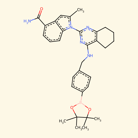 Cc1cc2c(C(N)=O)cccc2n1-c1nc2c(c(NCc3ccc(B4OC(C)(C)C(C)(C)O4)cc3)n1)CCCC2